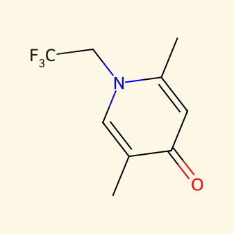 Cc1cn(CC(F)(F)F)c(C)cc1=O